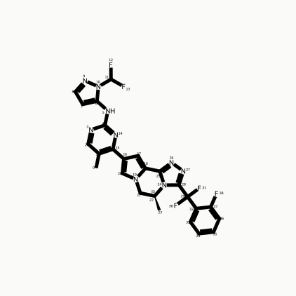 Cc1cnc(Nc2ccnn2C(F)F)nc1-c1cc2n(c1)C[C@H](C)n1c-2nnc1C(F)(F)c1ccccc1F